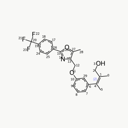 C/C(CO)=C(\C)c1cccc(OCc2nc(-c3ccc(C(F)(F)F)cc3)oc2C)c1